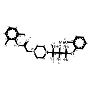 [2H]C([2H])(Oc1ccccc1OC)C([2H])(O)C([2H])([2H])N1CCN(CC(=O)Nc2c(C)cccc2C)CC1